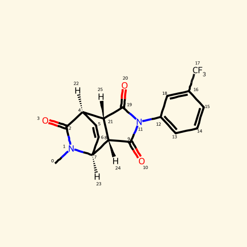 CN1C(=O)[C@@H]2C=C[C@H]1[C@H]1C(=O)N(c3cccc(C(F)(F)F)c3)C(=O)[C@H]12